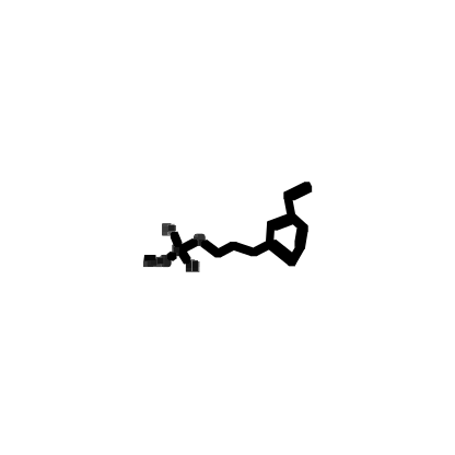 C=Cc1cccc(CCCO[Si](CC)(CC)OC)c1